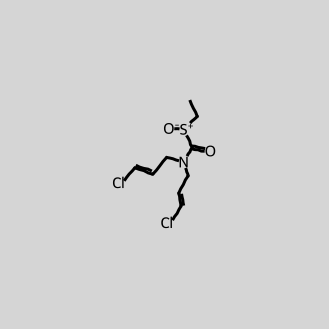 CC[S+]([O-])C(=O)N(CC=CCl)CC=CCl